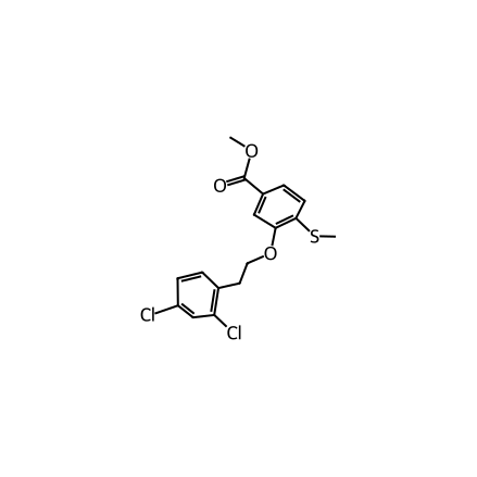 COC(=O)c1ccc(SC)c(OCCc2ccc(Cl)cc2Cl)c1